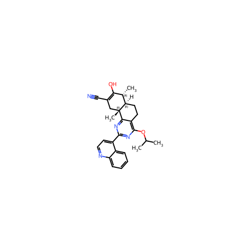 CC(C)Oc1nc(-c2ccnc3ccccc23)nc2c1CC[C@@H]1[C@@H](C)C(O)=C(C#N)C[C@@]21C